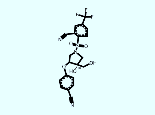 N#Cc1ccc(OC2CN(S(=O)(=O)c3ccc(C(F)(F)F)cc3C#N)C[C@@]2(O)CO)cc1